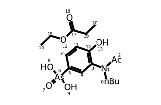 CCCCN(C(C)=O)c1cc([As](=O)(O)O)ccc1O.CCOC(=O)CC